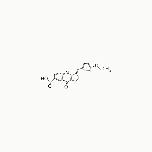 CCOc1ccc(C=C2CCc3c2nc2ccc(C(=O)O)cn2c3=O)cc1